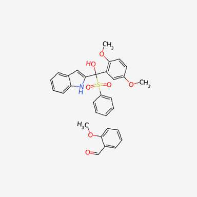 COc1ccc(OC)c(C(O)(c2cc3ccccc3[nH]2)S(=O)(=O)c2ccccc2)c1.COc1ccccc1C=O